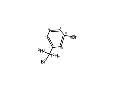 [2H]C([2H])(Br)c1cccc(Br)c1